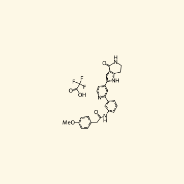 COc1ccc(CC(=O)Nc2cccc(-c3cc(-c4cc5c([nH]4)CCNC5=O)ccn3)c2)cc1.O=C(O)C(F)(F)F